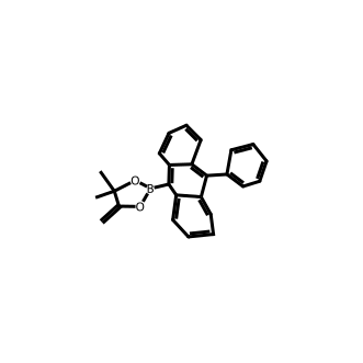 C=C1OB(c2c3ccccc3c(-c3ccccc3)c3ccccc23)OC1(C)C